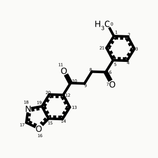 Cc1cccc(C(=O)CCC(=O)c2ccc3ocnc3c2)c1